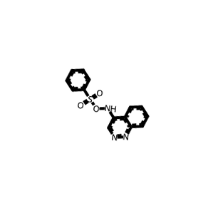 O=S(=O)(ONc1cnnc2ccccc12)c1ccccc1